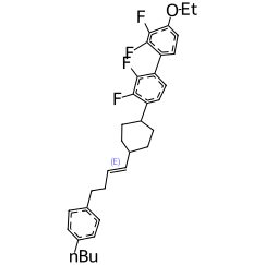 CCCCc1ccc(CC/C=C/C2CCC(c3ccc(-c4ccc(OCC)c(F)c4F)c(F)c3F)CC2)cc1